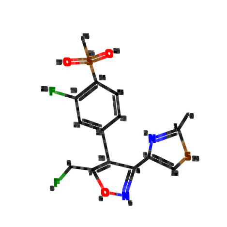 Cc1nc(-c2noc(CF)c2-c2ccc(S(C)(=O)=O)c(F)c2)cs1